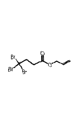 C=CCOC(=O)CCC(Br)(Br)Br